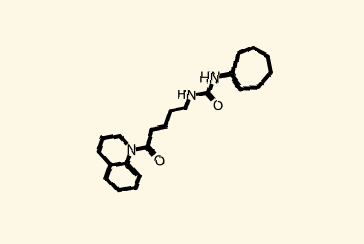 O=C(NCCCCC(=O)N1CCCC2CCCC=C21)NC1CCCCCC1